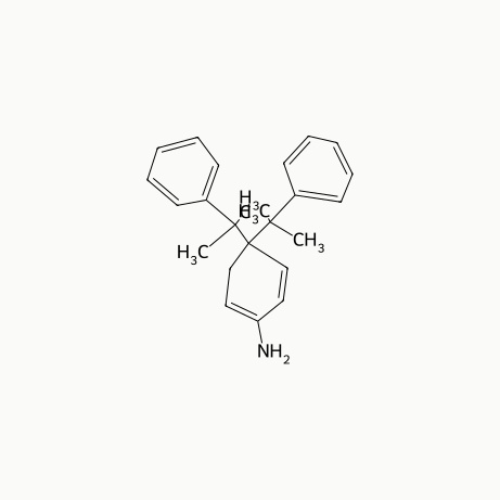 CC(C)(c1ccccc1)C1(C(C)(C)c2ccccc2)C=CC(N)=CC1